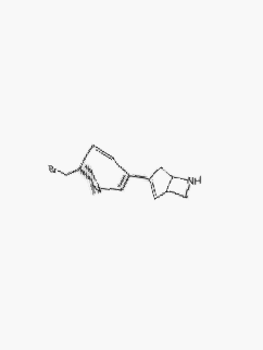 Brc1ccc(C2=CC3CNC3C2)cn1